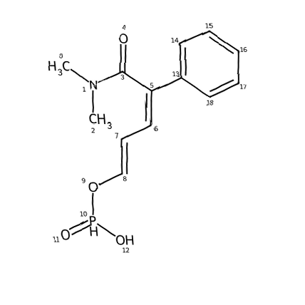 CN(C)C(=O)/C(=C\C=C\O[PH](=O)O)c1ccccc1